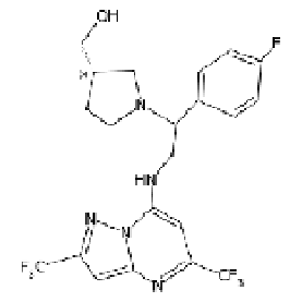 OC[C@H]1CCN(C(CNc2cc(C(F)(F)F)nc3cc(C(F)(F)F)nn23)c2ccc(F)cc2)C1